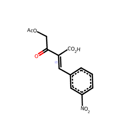 CC(=O)OCC(=O)/C(=C/c1cccc([N+](=O)[O-])c1)C(=O)O